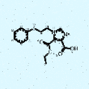 CCOC(=O)c1c(C(=O)O)ncn1CCSc1ccccc1